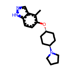 Cc1c(O[C@H]2CC[C@H](N3CCCC3)CC2)ccc2[nH]ncc12